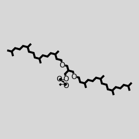 CC(C)CCCC(C)CCCC(C)CCCC(C)CCOCC(COCCC(C)CCCC(C)CCCC(C)CCCC(C)C)COS(C)(=O)=O